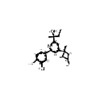 CCC(C)(O)c1cc(C2(C)CC(C)C2)cc(-c2ccc(F)c(Cl)c2)n1